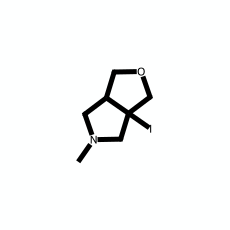 CN1CC2COCC2(I)C1